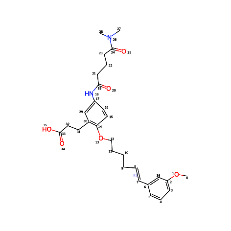 COc1cccc(/C=C/CCCCOc2ccc(NC(=O)CCCC(=O)N(C)C)cc2CCC(=O)O)c1